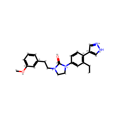 CCc1cc(N2CCN(CCc3cccc(OC)c3)C2=O)ccc1-c1cn[nH]c1